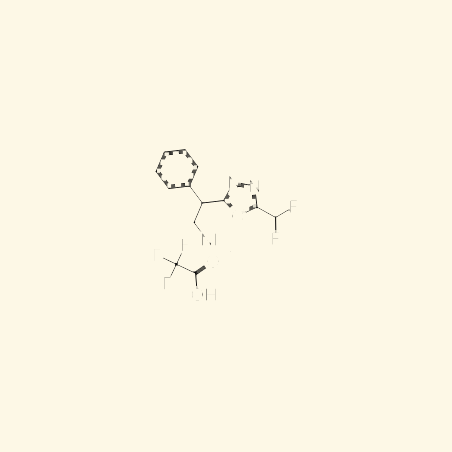 NCC(c1ccccc1)c1nnc(C(F)F)o1.O=C(O)C(F)(F)F